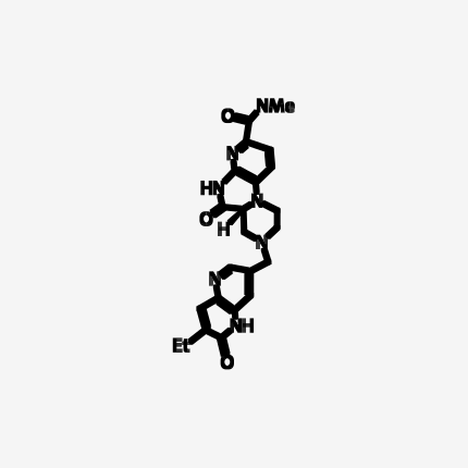 CCc1cc2ncc(CN3CCN4c5ccc(C(=O)NC)nc5NC(=O)[C@H]4C3)cc2[nH]c1=O